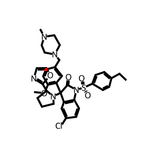 CCc1ccc(S(=O)(=O)N2C(=O)C(c3cc(CN4CCN(C)CC4)ccc3OC)(N3CCCC3c3ncco3)c3cc(Cl)ccc32)cc1